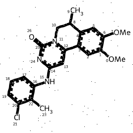 COc1cc2c(cc1OC)C(C)Cn1c-2cc(Nc2cccc(Cl)c2C)nc1=O